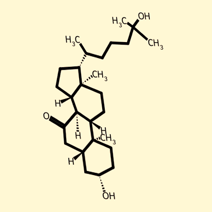 CC(CCCC(C)(C)O)[C@H]1CC[C@H]2[C@@H]3C(=O)C[C@H]4C[C@@H](O)CC[C@]4(C)[C@H]3CC[C@]12C